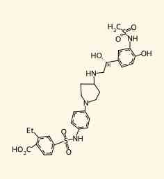 CCc1cc(S(=O)(=O)Nc2ccc(N3CCC(NC[C@H](O)c4ccc(O)c(NS(C)(=O)=O)c4)CC3)cc2)ccc1C(=O)O